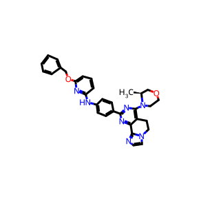 C[C@H]1COCCN1c1nc(-c2ccc(Nc3cccc(OCc4ccccc4)n3)cc2)nc2c1CCn1ccnc1-2